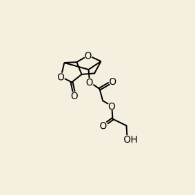 O=C(CO)OCC(=O)OC1C2CC3C(=O)OC1C3O2